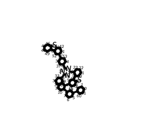 c1ccc(-c2cccc(-c3ccccc3-c3ccc4sc5cccc(-c6nc(-c7ccccc7)nc(-c7ccc(-c8ccc9sc%10ccccc%10c9c8)cc7)n6)c5c4c3)c2)cc1